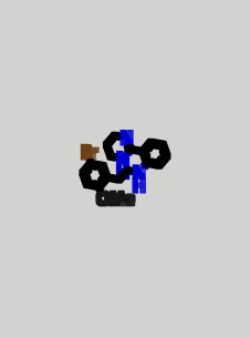 COc1ccc(Br)cc1CCNc1ccccc1C1=NCCCN1